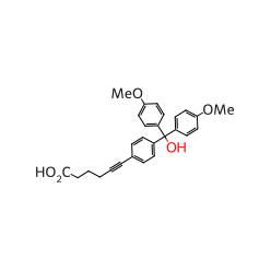 COc1ccc(C(O)(c2ccc(C#CCCCC(=O)O)cc2)c2ccc(OC)cc2)cc1